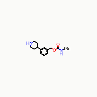 CC(C)(C)NC(=O)OCc1cccc(C2CCNCC2)c1